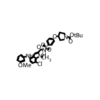 COc1cccc(Nc2ccc(Cl)c3c2cc(C(=O)NS(=O)(=O)c2ccc(OC4CCN(C(=O)OC(C)(C)C)CC4)cc2)n3C)c1